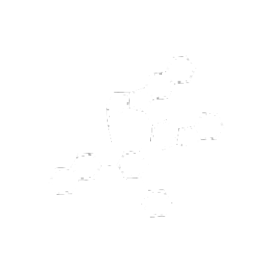 c1ccc(-c2nc(-c3ccc4ccccc4c3)c3c(n2)-c2cc4sc5ccccc5c4cc2-n2c4cc(ccc4c4cc5ccccc5cc42)C3)cc1